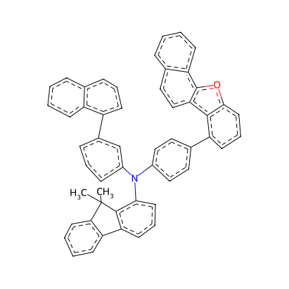 CC1(C)c2ccccc2-c2cccc(N(c3ccc(-c4cccc5oc6c7ccccc7ccc6c45)cc3)c3cccc(-c4cccc5ccccc45)c3)c21